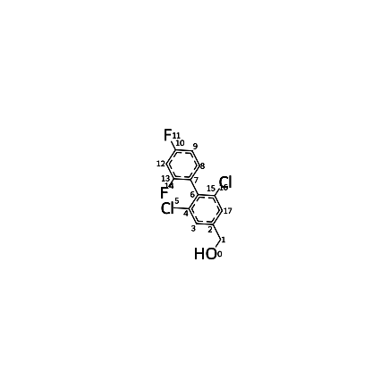 OCc1cc(Cl)c(-c2ccc(F)cc2F)c(Cl)c1